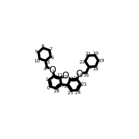 c1cc(OCC2CCCCC2)c2oc3c(OCC4CCCCC4)cccc3c2c1